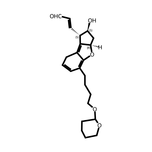 O=CC=C[C@H]1C2=C3CC=CC(CCCCOC4CCCCO4)=C3O[C@@H]2C[C@@H]1O